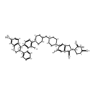 O=C1CC[C@@H](N2Cc3cc(N4CCN(CC5CCN(c6ccc([C@@H]7c8ccc(O)cc8OC[C@@H]7c7ccccc7)cc6F)CC5)CC4)c(F)cc3C2=O)C(=O)N1